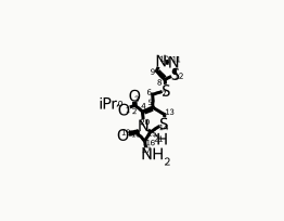 CC(C)OC(=O)C1=C(CSc2cnns2)CS[C@H]2C(N)C(=O)N12